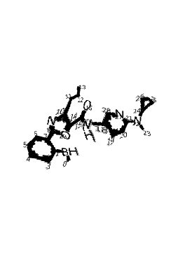 CBc1ccccc1-c1nc(CCC)c(C(=O)Nc2ccc(N(C)C3CC3)nc2)o1